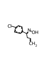 C=CCC(=NO)c1ccc(Cl)cc1